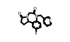 O=C1CN2C(=O)CCC2c2cc(F)ccc2N1Cc1ccccc1